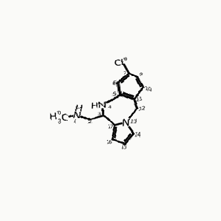 CNCC1Nc2cc(Cl)ccc2Cn2cccc21